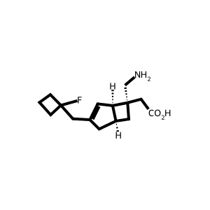 NC[C@]1(CC(=O)O)C[C@H]2CC(CC3(F)CCC3)=C[C@H]21